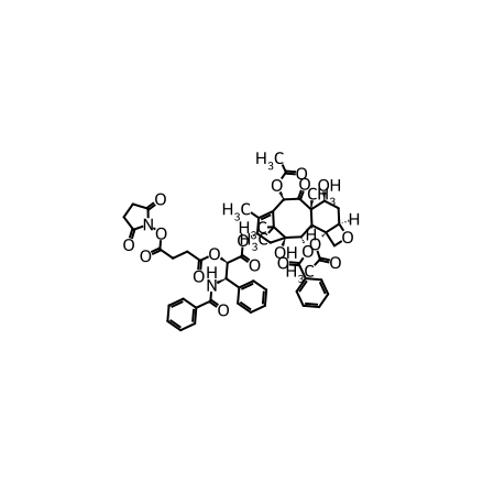 CC(=O)O[C@H]1C(=O)[C@@]2(C)[C@H]([C@H](OC(=O)c3ccccc3)[C@]3(O)C[C@H](OC(=O)[C@H](OC(=O)CCC(=O)ON4C(=O)CCC4=O)[C@H](NC(=O)c4ccccc4)c4ccccc4)C(C)=C1C3(C)C)[C@]1(OC(C)=O)CO[C@@H]1C[C@@H]2O